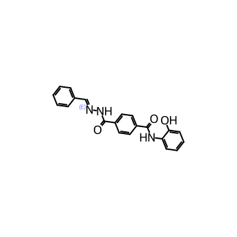 O=C(N/N=C/c1ccccc1)c1ccc(C(=O)Nc2ccccc2O)cc1